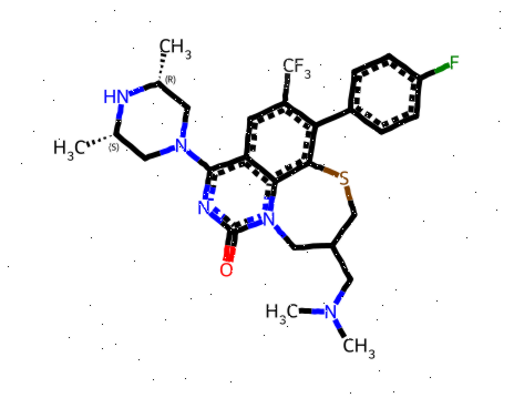 C[C@@H]1CN(c2nc(=O)n3c4c(c(-c5ccc(F)cc5)c(C(F)(F)F)cc24)SCC(CN(C)C)C3)C[C@H](C)N1